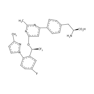 Cc1ccn(-c2ccc(F)cc2[C@@H](Oc2cc(-c3ccc(C[C@H](N)C(=O)O)cc3)nc(C)n2)C(F)(F)F)n1